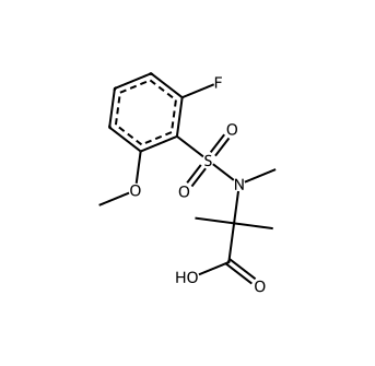 COc1cccc(F)c1S(=O)(=O)N(C)C(C)(C)C(=O)O